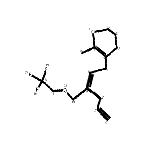 C=CC/C(=C\CC1=C(C)OCCC1)COCC(F)(F)F